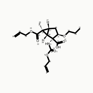 C=CCOC(=O)N[C@@]1(C(=O)O)[C@H](OCCC)C[C@@H]2[C@H]1[C@@]2(F)C(=O)OCC=C